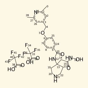 Cc1cc(COc2ccc(C(=O)NC3(CC(=O)NO)CCNCC3)cc2)cc(C)n1.O=C(O)C(F)(F)F.O=C(O)C(F)(F)F